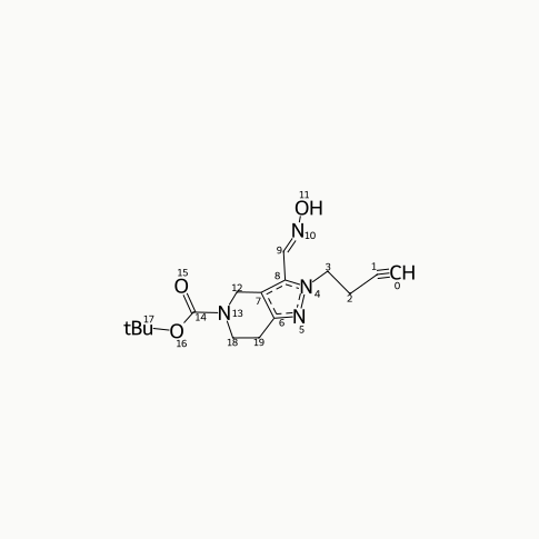 C#CCCn1nc2c(c1C=NO)CN(C(=O)OC(C)(C)C)CC2